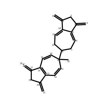 C=C1CC(=C)C2=CCC(C3(C)C=CC4=C(C=C3)C(=S)CC4=C)CC=C12